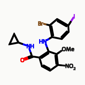 COc1c([N+](=O)[O-])ccc(C(=O)NC2CC2)c1Nc1ccc(I)cc1Br